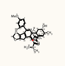 COc1ccc(C2=C[C@@]3(C(=O)SC(=O)N(C)C)C(=CC(=O)C4=C[C@H](C)[C@@H](O)C[C@@]43C)C3=C2C2=C(C3)OCO2)c(F)c1